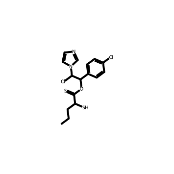 CCCC(S)C(=S)OC(c1ccc(Cl)cc1)C(Cl)n1ccnc1